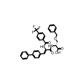 O=C(N[C@H](COCc1ccccc1)C(=O)O)C(=Cc1ccc(-c2ccccc2)cc1)NC(=O)c1ccc(C(F)(F)F)cc1